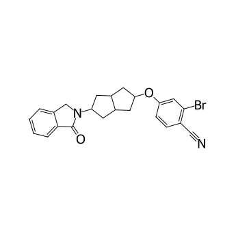 N#Cc1ccc(OC2CC3CC(N4Cc5ccccc5C4=O)CC3C2)cc1Br